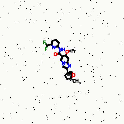 CC(C)Oc1cc2nc([C@]34CC[C@@](C)(C3)OC4)cn2cc1C(=O)Nc1cccc(C(F)F)n1